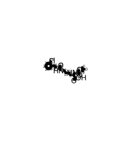 CC(C)(C)OC(=O)N[C@H](CCCCNC(=O)OCc1ccccc1Cl)C(=O)O